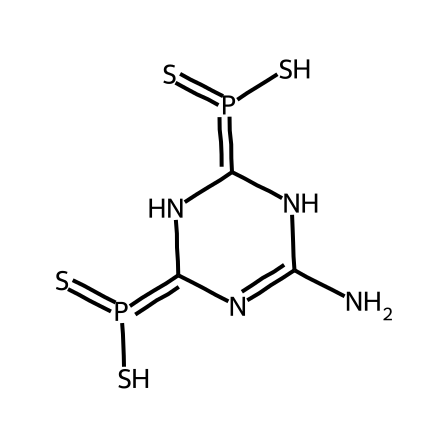 Nc1n/c(=P(=S)\S)[nH]/c(=P(=S)/S)[nH]1